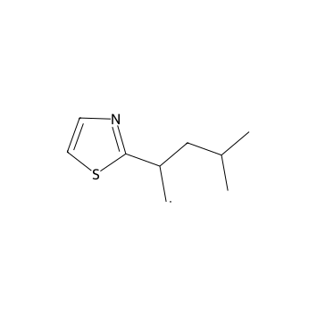 [CH2]C(CC(C)C)c1nccs1